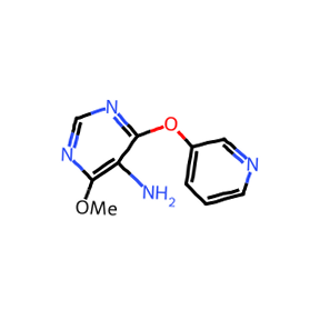 COc1ncnc(Oc2cccnc2)c1N